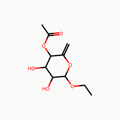 C=C1OC(OCC)C(O)C(O)C1OC(C)=O